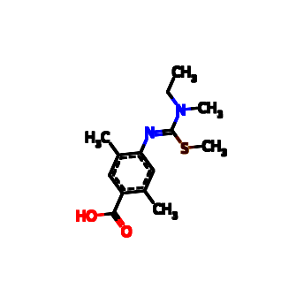 CCN(C)/C(=N/c1cc(C)c(C(=O)O)cc1C)SC